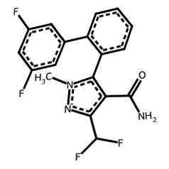 Cn1nc(C(F)F)c(C(N)=O)c1-c1ccccc1-c1cc(F)cc(F)c1